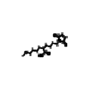 COCCCCC(CCCCN1C(=O)C=CC1=O)C(=O)O